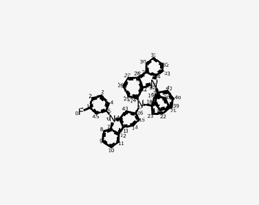 Fc1cccc(-n2c3ccccc3c3ccc(N(c4ccccc4)c4cccc5c6ccccc6n(-c6ccccc6)c45)cc32)c1